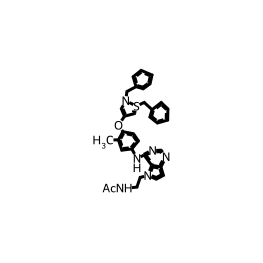 CC(=O)NCCn1ccc2ncnc(Nc3ccc(OC4=CN(Cc5ccccc5)S(Cc5ccccc5)=C4)c(C)c3)c21